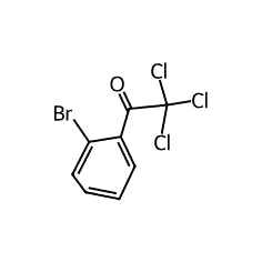 O=C(c1ccccc1Br)C(Cl)(Cl)Cl